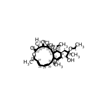 CCO[C@@](C)(CO)C[C@H]1C=C[C@@H]2[C@@H](C(=O)C(Cl)(Cl)C(=O)[C@H](C)C(=O)O[C@@H](C)/C=C/C=C\[C@H]2C)[C@@H]1CC